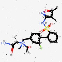 CCCCC(=O)[N+](C)(Cc1ccc(-c2ccccc2S(=O)(=O)Nc2noc(C)c2C)c(F)c1)[C@H](C(N)=O)C(C)C